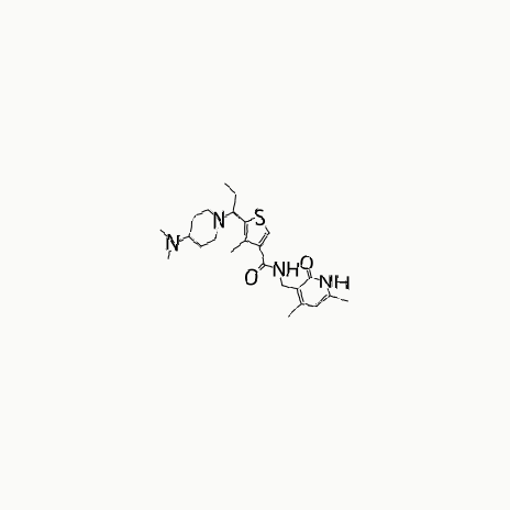 CCC(c1scc(C(=O)NCc2c(C)cc(C)[nH]c2=O)c1C)N1CCC(N(C)C)CC1